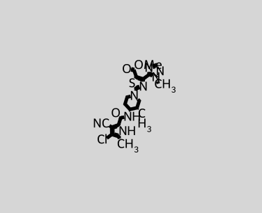 COC(=O)c1sc(N2CC[C@@H](NC(=O)c3[nH]c(C)c(Cl)c3C#N)[C@@H](C)C2)nc1-c1ncnn1C